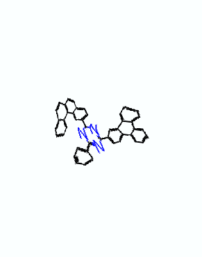 c1ccc(-c2nc(-c3ccc4c5ccccc5c5ccccc5c4c3)nc(-c3ccc4ccc5ccc6ccccc6c5c4c3)n2)cc1